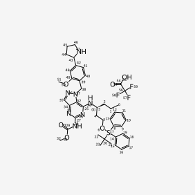 CCC[C@@H](CCO[Si](c1ccccc1)(c1ccccc1)C(C)(C)C)Nc1nc(NC(=O)OC)nc2cnn(Cc3ccc(C4CCCN4)cc3OC)c12.O=C(O)C(F)(F)F